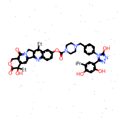 CCc1c2c(nc3ccc(OC(=O)N4CCN(Cc5ccc(-n6c(O)nnc6-c6cc(C(C)C)c(O)cc6O)cc5)CC4)cc13)-c1cc3c(c(=O)n1C2)COC(=O)C3(O)CC